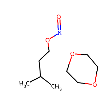 C1COCCO1.CC(C)CCON=O